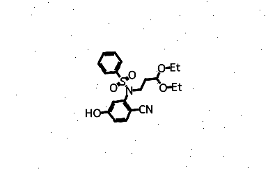 CCOC(CCN(c1cc(O)ccc1C#N)S(=O)(=O)c1ccccc1)OCC